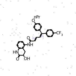 CCCOc1ccc(/C(=C\C=C\C(=O)Nc2cccc3c2CC(O)C(=O)N3)c2ccc(C(F)(F)F)cc2)cc1